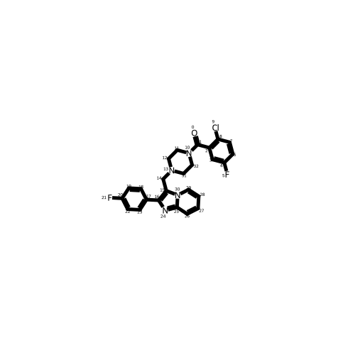 O=C(c1cc(F)ccc1Cl)N1CCN(Cc2c(-c3ccc(F)cc3)nc3ccccn23)CC1